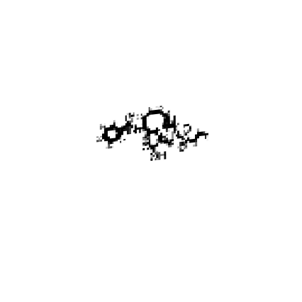 CCCS(=O)(=O)N1C[C@@H]2CC=CC[C@H](NC(=O)c3ccccc3)C(=O)N2[C@H](C(=O)O)C1